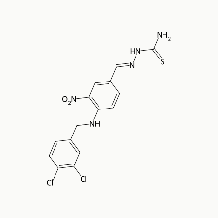 NC(=S)NN=Cc1ccc(NCc2ccc(Cl)c(Cl)c2)c([N+](=O)[O-])c1